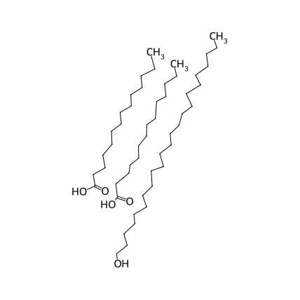 CCCCCCCCCCCCCC(=O)O.CCCCCCCCCCCCCC(=O)O.CCCCCCCCCCCCCCCCCCCCCCCO